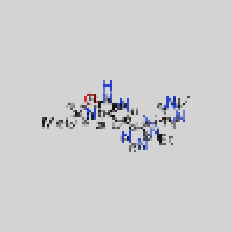 CCn1c(-c2cnc(C)nc2)nc2c(-c3cnc4c(c3)[C@@](C)(N3CC(C)(OC)C3)C(=O)N4)ncnc21